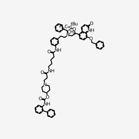 CC(C)(C)[Si](C)(C)OC(CN(CCc1cccc(NC(=O)CCCCNC(=O)CCN2CCC(OC(=O)Nc3ccccc3-c3ccccc3)CC2)c1)Cc1ccccc1)c1ccc(OCc2ccccc2)c2[nH]c(=O)ccc12